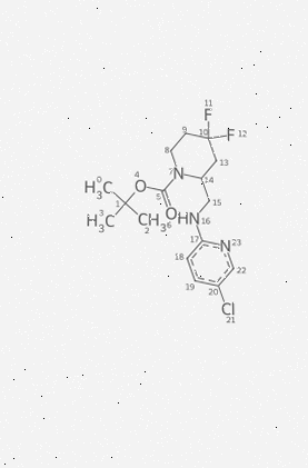 CC(C)(C)OC(=O)N1CCC(F)(F)CC1CNc1ccc(Cl)cn1